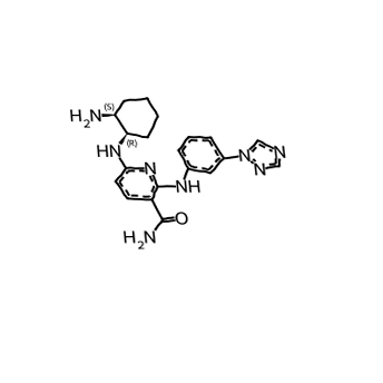 NC(=O)c1ccc(N[C@@H]2CCCC[C@@H]2N)nc1Nc1cccc(-n2cncn2)c1